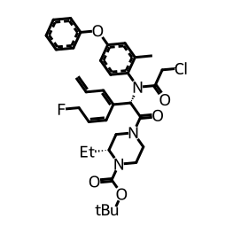 C=C/C=C(\C=C/CF)[C@@H](C(=O)N1CCN(C(=O)OC(C)(C)C)[C@H](CC)C1)N(C(=O)CCl)c1ccc(Oc2ccccc2)cc1C